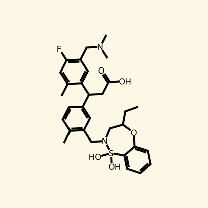 CCC1CN(Cc2cc(C(CC(=O)O)c3cc(CN(C)C)c(F)cc3C)ccc2C)S(O)(O)c2ccccc2O1